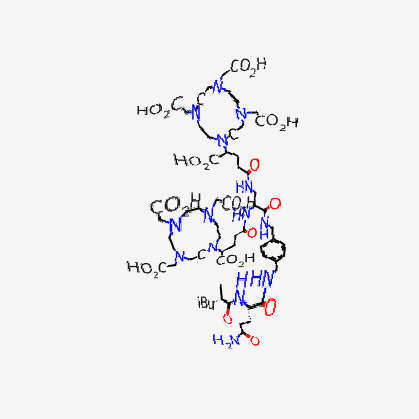 CCC(C)[C@H](C)C(=O)N[C@@H](CCC(N)=O)C(=O)NCc1ccc(CNC(=O)C(CNC(=O)CCC(C(=O)O)N2CCN(CC(=O)O)CCN(CC(=O)O)CCN(CC(=O)O)CC2)NC(=O)CCC(C(=O)O)N2CCN(CC(=O)O)CCN(CC(=O)O)CCN(CC(=O)O)CC2)cc1